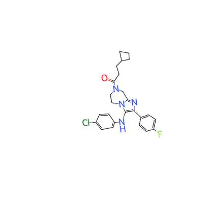 O=C(CCC1CCC1)N1CCn2c(nc(-c3ccc(F)cc3)c2Nc2ccc(Cl)cc2)C1